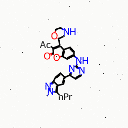 CCCc1c2cc(-c3ccnc(Nc4ccc5c(C6CNCCO6)c(C(C)=O)c(=O)oc5c4)n3)ccc2nn1C